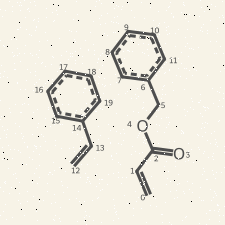 C=CC(=O)OCc1ccccc1.C=Cc1ccccc1